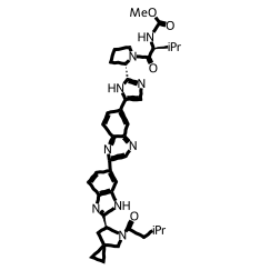 COC(=O)N[C@H](C(=O)N1CCC[C@H]1c1ncc(-c2ccc3nc(-c4ccc5nc([C@@H]6CC7(CC7)CN6C(=O)CC(C)C)[nH]c5c4)cnc3c2)[nH]1)C(C)C